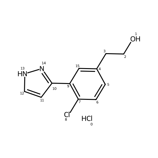 Cl.OCCc1ccc(Cl)c(-c2cc[nH]n2)c1